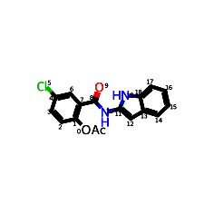 CC(=O)Oc1ccc(Cl)cc1C(=O)Nc1cc2ccccc2[nH]1